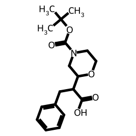 CC(C)(C)OC(=O)N1CCOC(C(Cc2ccccc2)C(=O)O)C1